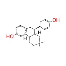 CC1(C)CC[C@H]2c3cc(O)ccc3C[C@@H](C3C=CC(O)=CC3)[C@H]2C1